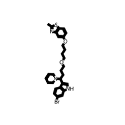 Cc1nc2cc(OCCCCOCCCC(c3c[nH]c4cc(Br)ccc34)N3CC=CCC3)ccc2s1